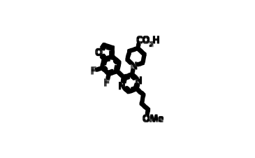 COCCCc1cnc(-c2cc3ccoc3c(F)c2F)c(N2CCC(C(=O)O)CC2)n1